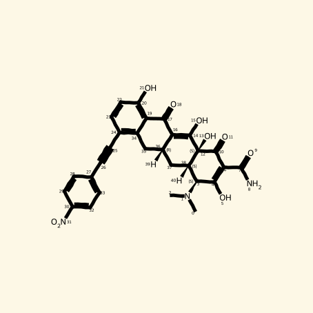 CN(C)[C@@H]1C(O)=C(C(N)=O)C(=O)[C@@]2(O)C(O)=C3C(=O)c4c(O)ccc(C#Cc5ccc([N+](=O)[O-])cc5)c4C[C@H]3C[C@@H]12